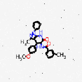 COc1ccc(C2c3c(C)nn(-c4ccccc4)c3NC(=O)C2NC(=O)c2cccc(C)c2)cc1